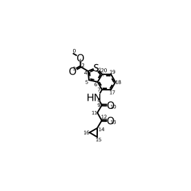 COC(=O)c1cc2c(NC(=O)CC(=O)C3CC3)cccc2s1